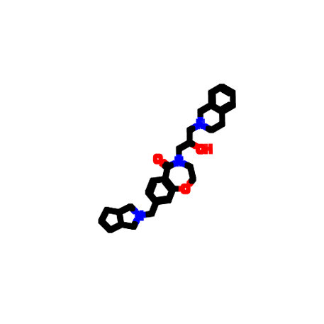 O=C1c2ccc(CN3CC4CCCC4C3)cc2OCCN1CC(O)CN1CCc2ccccc2C1